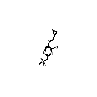 CS(=O)(=O)Cc1ncc(OCC2CC2)c(Cl)n1